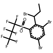 CCC(Br)c1c(Br)[c]c(Br)cc1S(=O)(=O)C(F)(F)C(F)(F)C(F)(F)F